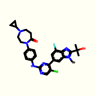 CC(C)n1c(C(C)(C)O)nc2c(F)cc(-c3nc(Nc4ccc(N5CCN(C6CC6)CCC5=O)cc4)ncc3Cl)cc21